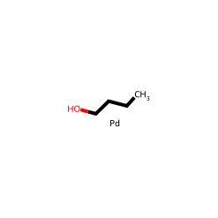 CCCCO.[Pd]